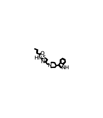 CC=CC(=O)Nc1nc(CN2CCC(c3c[nH]c4ccccc34)CC2)cs1